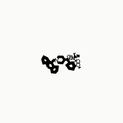 COc1cccc([C@@H](O)C2CCN(CC34CC(c5ccccc53)c3ccccc34)CC2)c1S(=O)(=O)N(C)C